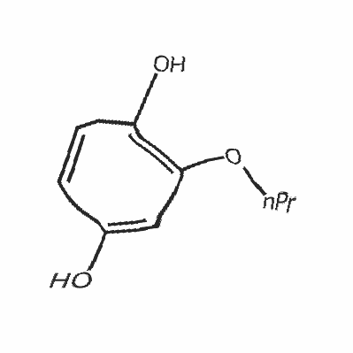 CCCOc1cc(O)ccc1O